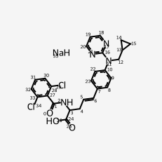 O=C(NC(C/C=C/c1ccc(N(CC2CC2)c2ncccn2)cc1)C(=O)O)c1c(Cl)cccc1Cl.[NaH]